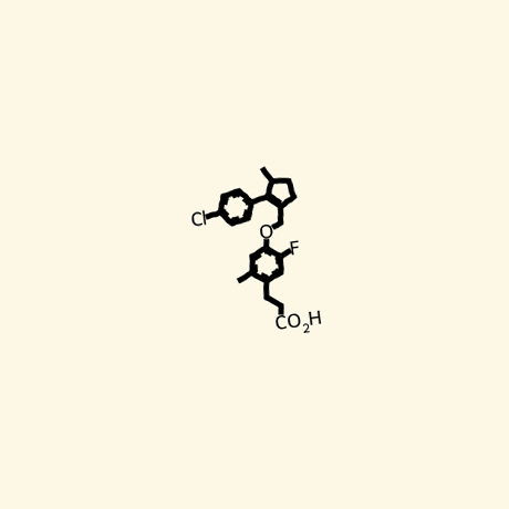 Cc1cc(OCC2=C(c3ccc(Cl)cc3)C(C)CC2)c(F)cc1CCC(=O)O